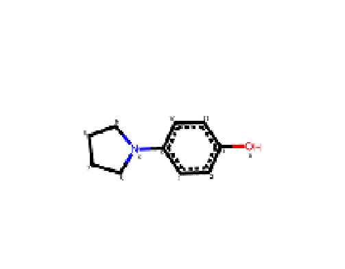 Oc1ccc(N2CCCC2)cc1